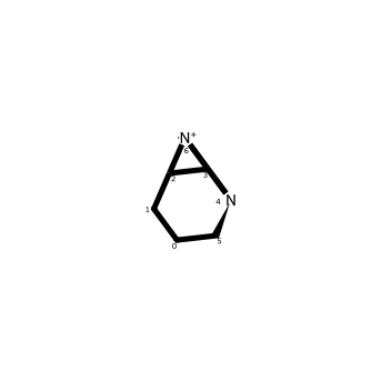 C1CC2C3[N@](C1)[N+]23